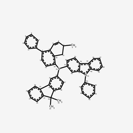 CC1C=Cc2c(-c3ccccc3)ccc(N(c3ccc4c(c3)-c3ccccc3C4(C)C)c3ccc4c5ccccc5n(-c5ccccc5)c4c3)c2C1